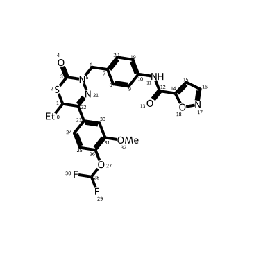 CCC1SC(=O)N(Cc2ccc(NC(=O)c3ccno3)cc2)N=C1c1ccc(OC(F)F)c(OC)c1